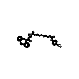 O=C(NCCC(=O)N1Cc2ccccc2C#Cc2ccccc21)OCCSSCCOC(=O)Oc1ccc([N+](=O)[O-])cc1